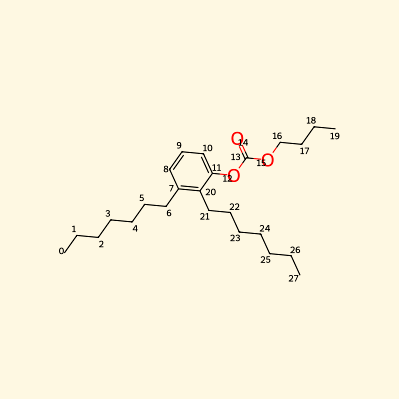 CCCCCCCc1cccc(OC(=O)OCCCC)c1CCCCCCC